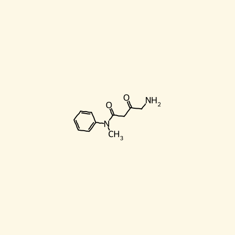 CN(C(=O)CC(=O)CN)c1ccccc1